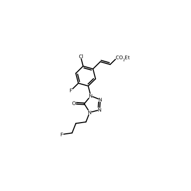 CCOC(=O)C=Cc1cc(-n2nnn(CCCF)c2=O)c(F)cc1Cl